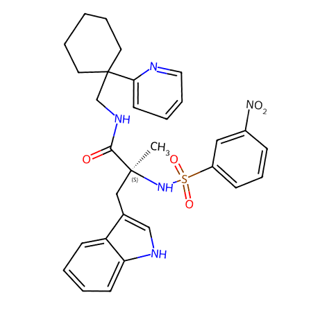 C[C@@](Cc1c[nH]c2ccccc12)(NS(=O)(=O)c1cccc([N+](=O)[O-])c1)C(=O)NCC1(c2ccccn2)CCCCC1